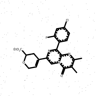 CCOC(=O)C1CC(c2cn3c(=O)c(C)c(C)nc3c(-c3ccc(Cl)cc3F)n2)=CCO1